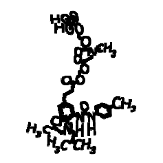 Cc1ccc(NC(=O)Nc2cc(CCC(=O)OCOC(=O)CN(C)C(=O)OCOP(=O)(O)O)ccc2N(CC(C)C)CC(C)C)cc1